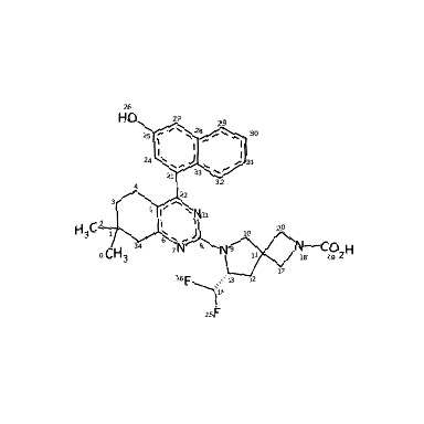 CC1(C)CCc2c(nc(N3CC4(C[C@@H]3C(F)F)CN(C(=O)O)C4)nc2-c2cc(O)cc3ccccc23)C1